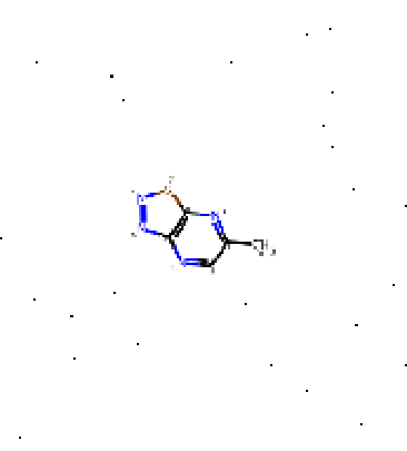 Cc1cnc2nnsc2n1